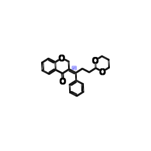 O=C1/C(=C(/CCC2OCCCO2)c2ccccc2)COc2ccccc21